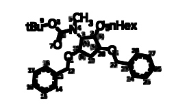 CCCCCCO[C@@H]1[C@@H](N(C)C(=O)OC(C)(C)C)[C@H](OCc2ccccc2)C[C@@H]1OCc1ccccc1